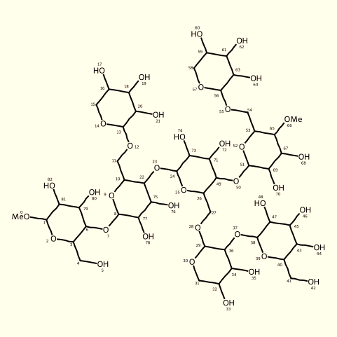 COC1OC(CO)C(OC2OC(COC3OCC(O)C(O)C3O)C(OC3OC(COC4OCC(O)C(O)C4OC4OC(CO)C(O)C(O)C4O)C(OC4OC(COC5OCC(O)C(O)C5O)C(OC)C(O)C4O)C(O)C3O)C(O)C2O)C(O)C1O